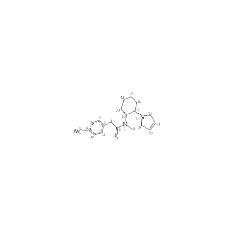 CN(C(=S)Cc1ccc(C#N)cc1)C1CCCCC1N1CC=CC1